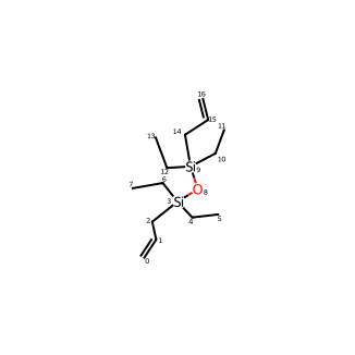 C=CC[Si](CC)(CC)O[Si](CC)(CC)CC=C